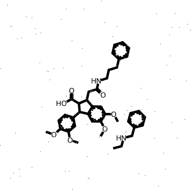 CCNCc1ccccc1.COc1ccc(C2c3cc(OC)c(OC)cc3C(CC(=O)NCCCc3ccccc3)C2C(=O)O)cc1OC